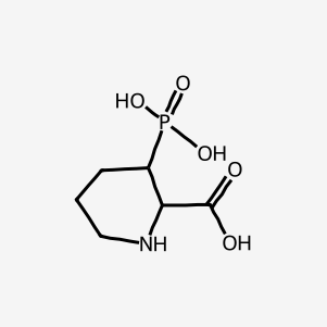 O=C(O)C1NCCCC1P(=O)(O)O